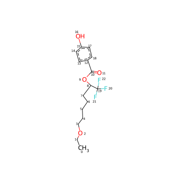 CCOCCCCCC(OC(=O)c1ccc(O)cc1)C(F)(F)F